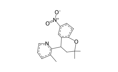 Cc1cccnc1C1CC(C)(C)Oc2ccc([N+](=O)[O-])cc21